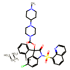 COc1ccccc1C1(OC(=O)N2CCN(C3CCN(C)CC3)CC2)C(=O)N(S(=O)(=O)c2cccc3cccnc23)c2ccc(Cl)cc21.CS(=O)(=O)O.CS(=O)(=O)O